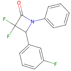 O=C1N(c2ccccc2)C(c2cccc(F)c2)C1(F)F